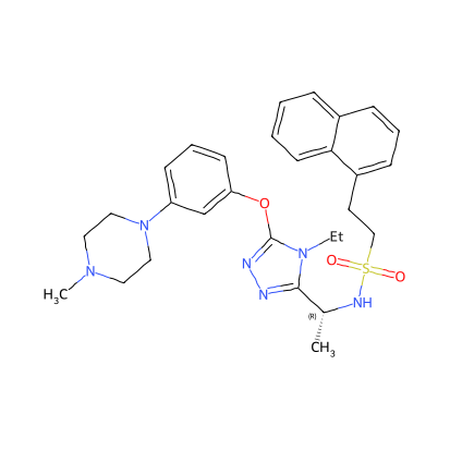 CCn1c(Oc2cccc(N3CCN(C)CC3)c2)nnc1[C@@H](C)NS(=O)(=O)CCc1cccc2ccccc12